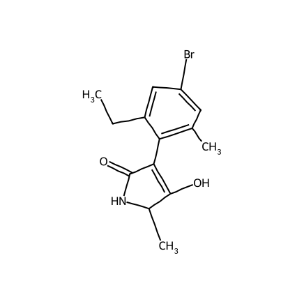 CCc1cc(Br)cc(C)c1C1=C(O)C(C)NC1=O